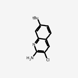 CC(C)(C)c1ccc2cc(Cl)c(N)nc2c1